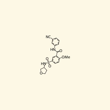 COc1ccc(S(=O)(=O)N[C@H]2CCOC2)cc1C(=O)Nc1cccc(C#N)c1